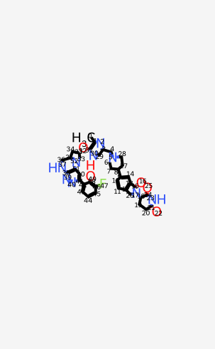 Cc1nc(CN2CCC(c3ccc4c(c3)C(=O)N(C3CCC(=O)NC3=O)C4)CC2)cnc1OC1CC2CNc3nnc(-c4cccc(F)c4O)cc3N2C1